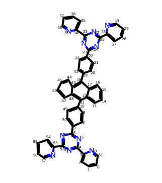 c1ccc(-c2nc(-c3ccc(-c4c5ccccc5c(-c5ccc(-c6nc(-c7ccccn7)nc(-c7ccccn7)n6)cc5)c5ccccc45)cc3)nc(-c3ccccn3)n2)nc1